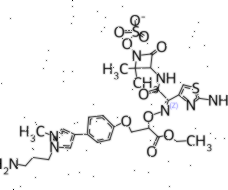 CCOC(=O)C(COc1ccc(-c2cn(CCCN)[n+](C)c2)cc1)O/N=C(\C(=O)NC1C(=O)N(OS(=O)(=O)[O-])C1(C)C)c1csc(N)n1